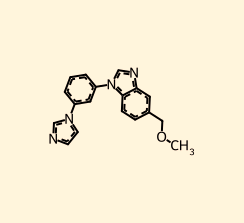 COCc1ccc2c(c1)ncn2-c1cccc(-n2ccnc2)c1